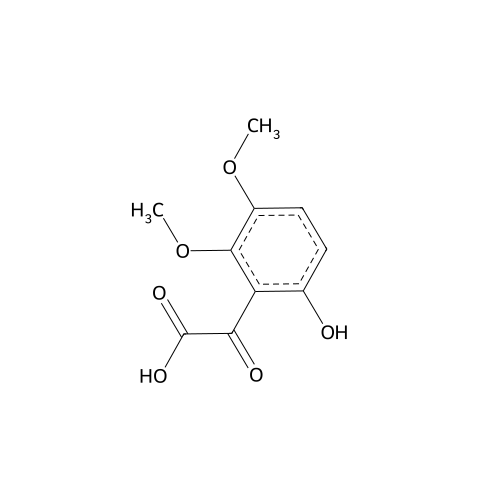 COc1ccc(O)c(C(=O)C(=O)O)c1OC